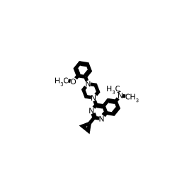 COc1ccccc1N1CCN(c2nc(C3CC3)nc3ccc(N(C)C)cc23)CC1